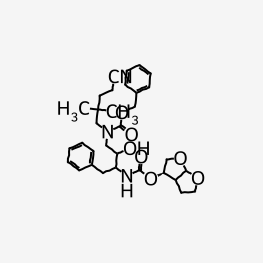 CC(C)(CCC#N)CN(CC(O)C(Cc1ccccc1)NC(=O)O[C@H]1COC2OCCC21)C(=O)OCc1ccccc1